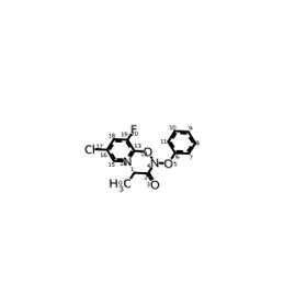 CCC(=O)N(Oc1ccccc1)Oc1ncc(Cl)cc1F